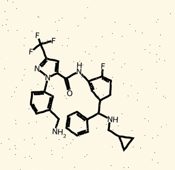 NCc1cccc(-n2nc(C(F)(F)F)cc2C(=O)NC2=CC(C(NCC3CC3)c3ccccc3)CC=C2F)c1